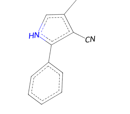 N#Cc1c[nH]c(-c2ccccc2)c1C#N